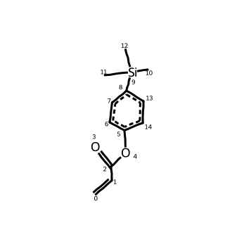 C=CC(=O)Oc1ccc([Si](C)(C)C)cc1